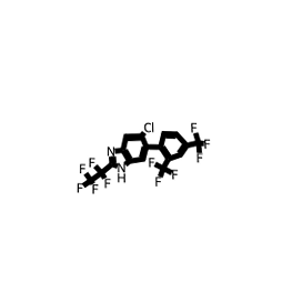 FC(F)(F)c1ccc(-c2cc3[nH]c(C(F)(F)C(F)(F)F)nc3cc2Cl)c(C(F)(F)F)c1